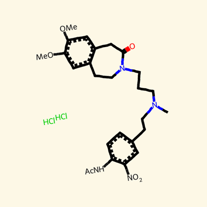 COc1cc2c(cc1OC)CC(=O)N(CCCN(C)CCc1ccc(NC(C)=O)c([N+](=O)[O-])c1)CC2.Cl.Cl